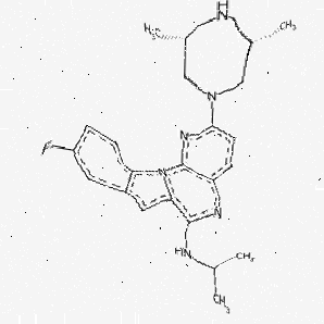 CC(C)Nc1nc2ccc(N3C[C@@H](C)N[C@@H](C)C3)nc2n2c1cc1cc(F)ccc12